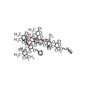 CCC1O[C@H](O[C@@H]2C(OCc3ccccc3)[C@@H](OCC3O[C@@H](O[C@@H]4C(CC)O[C@@H](O[C@@H]5C(CC)O[C@@H](OCCN=[N+]=[N-])C(C)[C@H]5C)C(C)[C@H]4C)C(C)[C@@H](O[C@H]4OC(CC)[C@@H](C)C(C)C4O[C@@H]4OC(CC)[C@@H](C)[C@H](C)C4C)[C@@H]3O)OC(CO[C@H]3OC(CC)[C@@H](C)[C@H](C)C3C)[C@H]2C)C(C)C(C)[C@@H]1C